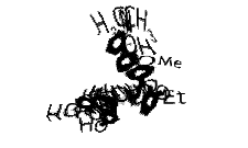 CCOc1ccccc1O[C@H](c1ccccc1)[C@H]1CNCCO1.CN1CC[C@]23c4c5ccc(O)c4O[C@H]2[C@@H](O)C=C[C@H]3[C@H]1C5.COc1cccc([C@@]2(O)CCCC[C@@H]2CN(C)C)c1